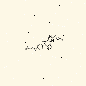 C=CCOc1ccc(-n2c(=O)c3cnc(SC)nc3n3ccnc23)cc1